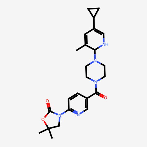 CC1=CC(C2CC2)=CNC1N1CCN(C(=O)c2ccc(N3CC(C)(C)OC3=O)nc2)CC1